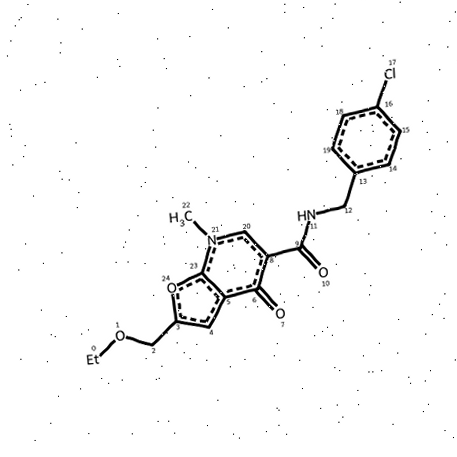 CCOCc1cc2c(=O)c(C(=O)NCc3ccc(Cl)cc3)cn(C)c2o1